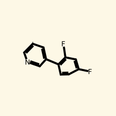 Fc1ccc(-c2c[c]cnc2)c(F)c1